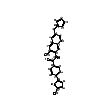 O=C(Nc1cc2ncc(Cn3cccc3)cc2cc1Cl)c1ccc(-c2ccc(Cl)s2)cc1